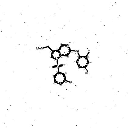 CNCc1cn(S(=O)(=O)c2cccc(F)c2)c2cc(Nc3ccc(F)cc3C)ncc12